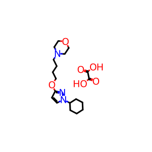 O=C(O)C(=O)O.c1cn(C2CCCCC2)nc1OCCCCN1CCOCC1